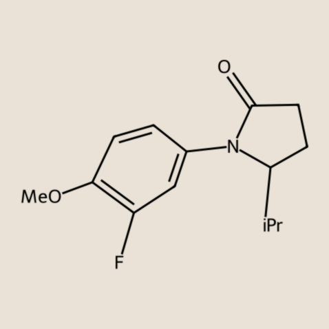 COc1ccc(N2C(=O)CCC2C(C)C)cc1F